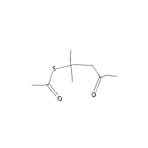 CC(=O)CC(C)(C)SC(C)=O